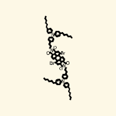 CCCCCCc1ccc(N(c2ccc(CCCCCC)cc2)c2ccc(CCCN3C(=O)c4ccc5c6c(Br)cc7c8c(ccc(c9c(Br)cc(c4c59)C3=O)c86)C(=O)N(CCCc3ccc(N(c4ccc(CCCCCC)cc4)c4ccc(CCCCCC)cc4)cc3)C7=O)cc2)cc1